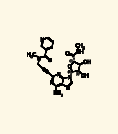 CNC(=O)[C@H]1O[C@@H](n2cnc3c(N)nc(C#CCN(C)C(=O)c4cccnc4)nc32)[C@H](O)C1O